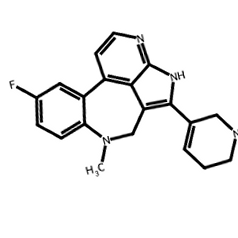 CN1Cc2c(C3=CCCNC3)[nH]c3nccc(c23)-c2cc(F)ccc21